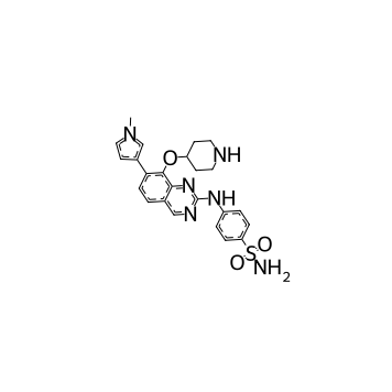 Cn1ccc(-c2ccc3cnc(Nc4ccc(S(N)(=O)=O)cc4)nc3c2OC2CCNCC2)c1